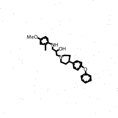 COc1ccc(NCC(O)CN2CCC(c3ccc(Oc4ccccc4)cc3)CC2)c(C)c1